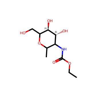 CCOC(=O)NC1C(C)OC(CO)[C@@H](O)[C@@H]1O